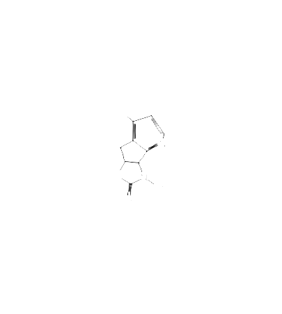 Cc1ccnc2c1CC1OC(=O)N(C)C21